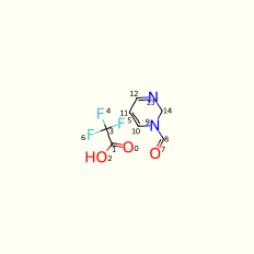 O=C(O)C(F)(F)F.O=CN1C=CC=NC1